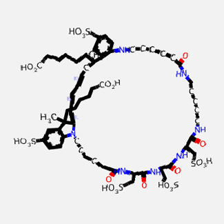 CC1(CCCCCC(=O)O)C/C=C/C=C/C=C2/N(CCCCCC(=O)NC(CS(=O)(=O)O)C(=O)NC(CS(=O)(=O)O)C(=O)NC(CS(=O)(=O)O)C(=O)NCCCCCNC(=O)CCCCCNc3ccc(S(=O)(=O)O)cc31)c1ccc(S(=O)(=O)O)cc1C2(C)CCCCCC(=O)O